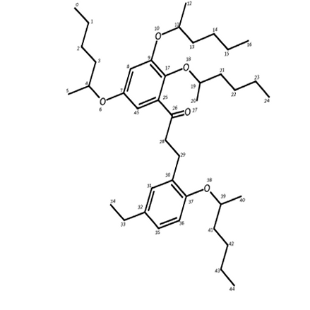 CCCCC(C)Oc1cc(OC(C)CCCC)c(OC(C)CCCC)c(C(=O)CCc2cc(CC)ccc2OC(C)CCCC)c1